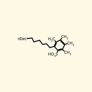 CCCCCCCCCCCCCCCCc1c(C)c(C)c(C)c(C)c1S(=O)(=O)O